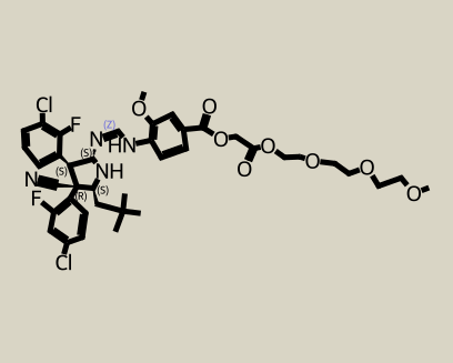 COCCOCCOCCOC(=O)COC(=O)c1ccc(N/C=N\[C@@H]2N[C@@H](CC(C)(C)C)[C@](C#N)(c3ccc(Cl)cc3F)[C@H]2c2cccc(Cl)c2F)c(OC)c1